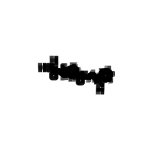 O=C(NCCC1CNc2ccccc21)c1ccc2sc(C(=O)NO)cc2c1